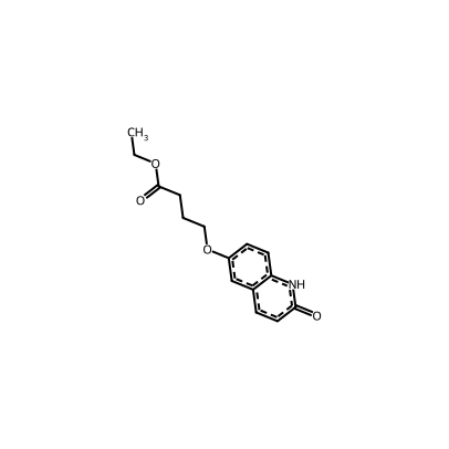 CCOC(=O)CCCOc1ccc2[nH]c(=O)ccc2c1